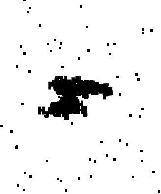 CC(C)(CF)NC(=O)[C@]12C[C@H]1[C@@](C)(c1cc(NC(=O)c3cnc(OCC(F)(F)F)cn3)ccc1F)N=C(N(COCC[Si](C)(C)C)C(=O)OC(C)(C)C)S2